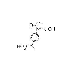 CC(C(=O)O)c1ccc(N2C(=O)CCC2CO)cc1